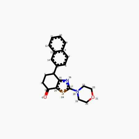 O=C1CCC(c2ccc3ccccc3c2)c2nc(N3CCOCC3)sc21